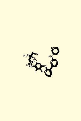 CC(C)(CC#N)CS(=O)(=O)Nc1ccc(Oc2ncccc2-c2ccnc(N[C@H]3CCCNC3)n2)c(F)c1F